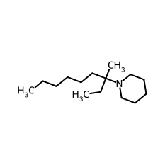 CCCCCCC(C)(CC)N1CCCCC1